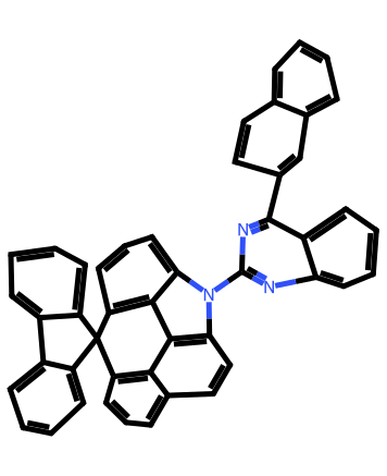 c1ccc2c(c1)-c1ccccc1C21c2cccc3ccc4c(c23)c2c1cccc2n4-c1nc(-c2ccc3ccccc3c2)c2ccccc2n1